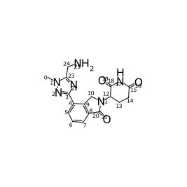 Cn1nc(-c2cccc3c2CN(C2CCC(=O)NC2=O)C3=O)nc1CN